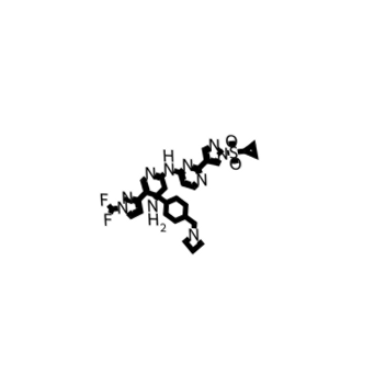 NC1(C2CCC(CN3CCC3)CC2)CC(Nc2ccnc(-c3cnn(S(=O)(=O)C4CC4)c3)n2)=NC=C1c1ccn(C(F)F)n1